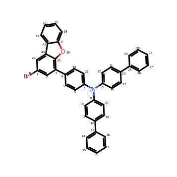 Brc1cc(-c2ccc(N(c3ccc(-c4ccccc4)cc3)c3ccc(-c4ccccc4)cc3)cc2)c2oc3ccccc3c2c1